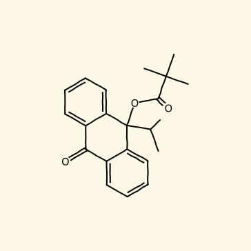 CC(C)C1(OC(=O)C(C)(C)C)c2ccccc2C(=O)c2ccccc21